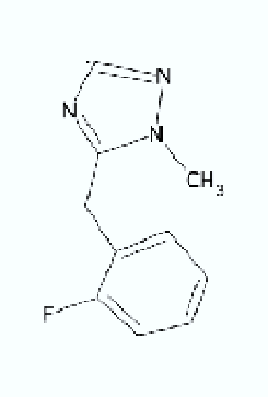 Cn1n[c]nc1Cc1ccccc1F